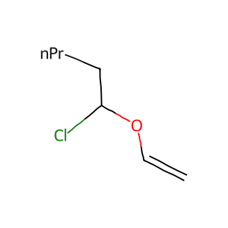 C=COC(Cl)CCCC